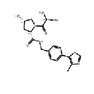 Cc1ncsc1-c1ccc(CNC(=O)[C@@H]2C[C@H](O)CN2C(=O)[C@@H](N)C(C)(C)C)cc1